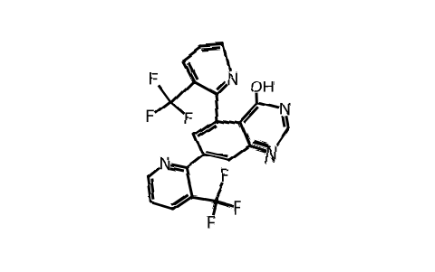 Oc1ncnc2cc(-c3ncccc3C(F)(F)F)cc(-c3ncccc3C(F)(F)F)c12